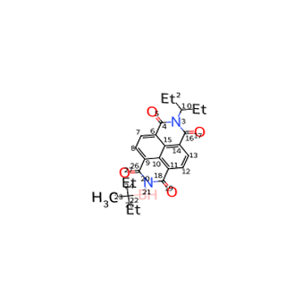 CCC(CC)N1C(=O)c2ccc3c4c(ccc(c24)C1=O)C(=O)N(BC(C)(CC)CC)C3=O